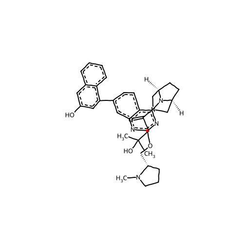 CN1CCC[C@H]1COc1nc(N2[C@@H]3CC[C@H]2CN(C(=O)CC(C)(C)O)C3)c2ccc(-c3cc(O)cc4ccccc34)cc2n1